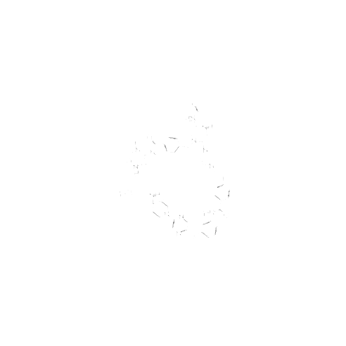 CC1(N)C=CN(c2cnc(Sc3cccc(NC(=O)c4ccc5c(c4)CC(N4CCN(C6CNC(NC=O)CN6Cc6ccc7c(c6)CN(C6NCONO6)C7=O)CC4)C5)c3)cn2)C=C1.Cl